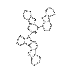 c1ccc2c(c1)sc1c(-c3nc(-n4c5ccccc5c5c6sc7ccccc7c6ccc54)nc4c3sc3ccccc34)cccc12